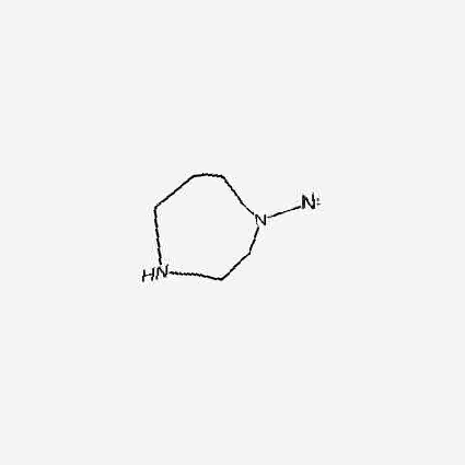 [N]N1CCCNCC1